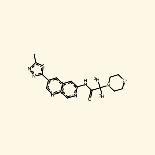 [2H]C([2H])(C(=O)Nc1cc2cc(-c3nnc(C)s3)cnc2cn1)N1CCOCC1